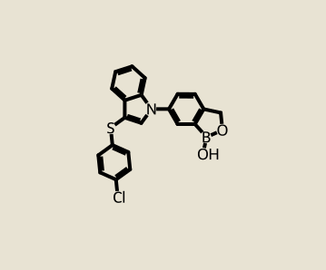 OB1OCc2ccc(-n3cc(Sc4ccc(Cl)cc4)c4ccccc43)cc21